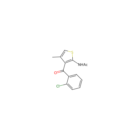 CC(=O)Nc1scc(C)c1C(=O)c1ccccc1Cl